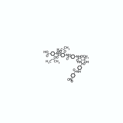 CCC(C)Oc1cc(C(=O)O)ccc1NC(=O)c1ccc(NC(=O)c2ccc(NC(=O)C(OC)C(NC(=O)c3ccc(NC(=O)c4ccc([N+](=O)[O-])cc4)cc3)C(=O)O)cc2)c(OC(C)C)c1O